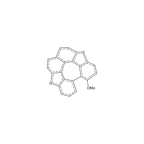 COc1ccc2sc3ccc4ccc5oc6cccc7c6c5c4c3c2c1-7